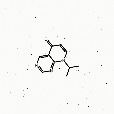 CC(C)n1ccc(=O)c2cncnc21